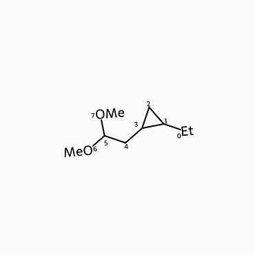 CCC1CC1CC(OC)OC